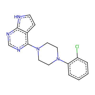 Clc1ccccc1N1CCN(c2ncnc3[nH]ccc23)CC1